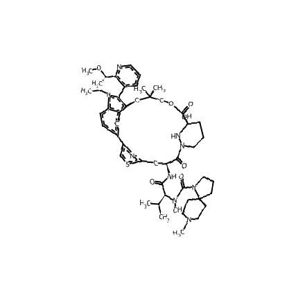 CCn1c(-c2cccnc2[C@H](C)OC)c2c3cc(ccc31)-c1csc(n1)C[C@H](NC(=O)[C@H](C(C)C)N(C)C(=O)N1CCCC13CCN(C)CC3)C(=O)N1CCC[C@@](O)(N1)C(=O)OCC(C)(C)C2